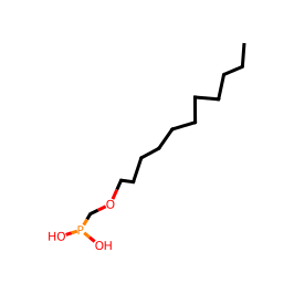 CCCCCCCCCCCOCP(O)O